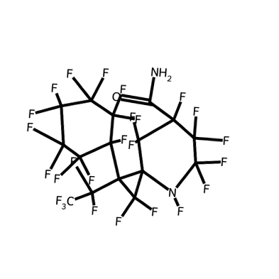 NC(=O)C1(F)C(F)(F)C(F)(F)N(F)C2(C1(F)F)C(F)(F)C2(C(F)(F)C(F)(F)F)C1(F)C(F)(F)C(F)(F)C(F)(F)C(F)(F)C1(F)F